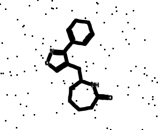 O=C1CCCCC(Cc2conc2C2=CCCC=C2)N1